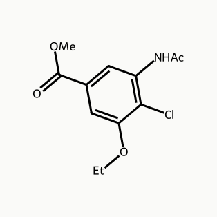 CCOc1cc(C(=O)OC)cc(NC(C)=O)c1Cl